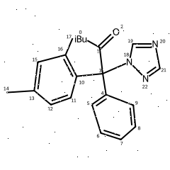 CCC(C)C(=O)C(c1ccccc1)(c1ccc(C)cc1C)n1cncn1